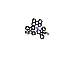 CC1(c2ccccc2)c2ccccc2-c2ccc(N(c3ccc4c(c3)C(C)(c3ccccc3)c3ccccc3-4)c3ccccc3-c3cccc4cccc(C5CCCCC5)c34)cc21